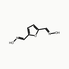 ON=Cc1ccc(C=NO)o1